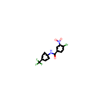 O=C(Nc1ccc(C(F)(F)F)cc1)c1ccc(Br)c([N+](=O)[O-])c1